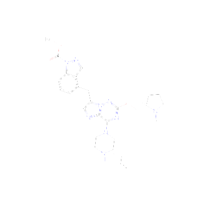 CN1CCC[C@H]1COc1nc(N2CCN[C@@H](CC#N)C2)c2ncc(Cc3cccc4c3cnn4C(=O)OC(C)(C)C)n2n1